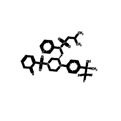 CC(C)CS(=O)(=O)N(C[C@H]1CN(S(=O)(=O)C2=CC=CCC2=S)CCN1c1ccc([C@](C)(O)C(F)(F)F)cc1)c1cccnc1